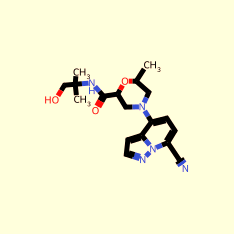 CC1CN(c2ccc(C#N)n3nccc23)CC(C(=O)NC(C)(C)CO)O1